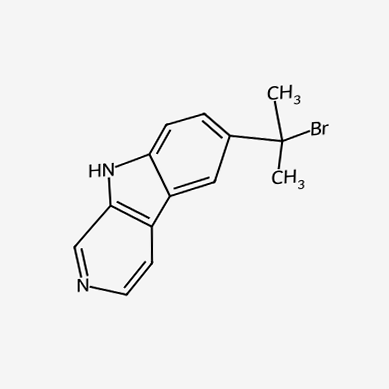 CC(C)(Br)c1ccc2[nH]c3cnccc3c2c1